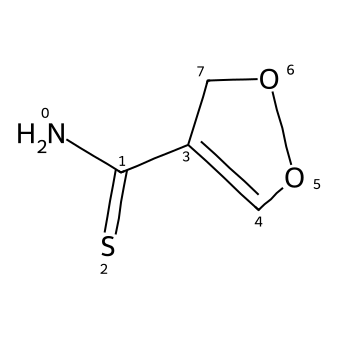 NC(=S)C1=COOC1